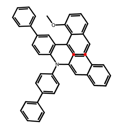 COc1cccc2cccc(-c3cc(-c4ccccc4)ccc3N(c3ccc(-c4ccccc4)cc3)c3ccc4ccccc4c3)c12